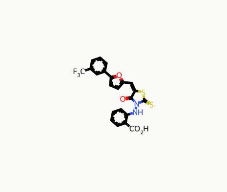 O=C(O)c1ccccc1NN1C(=O)/C(=C\c2ccc(-c3cccc(C(F)(F)F)c3)o2)SC1=S